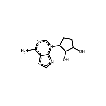 Nc1ncn(C2CCC(O)C2O)c2ncnc1-2